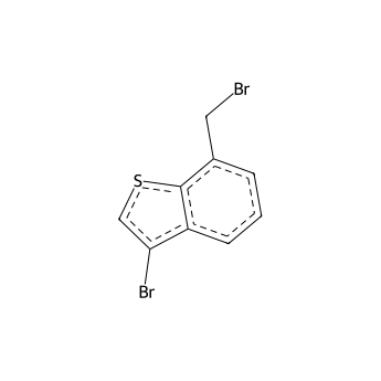 BrCc1cccc2c(Br)csc12